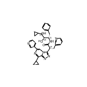 O=C(N[C@@H](Cc1ccccc1)[C@@H](O)[C@@H](O)C1CC1)[C@H](Cc1cccnc1)c1nnc2c(C3CC3)nc(-c3cccnc3)cn12